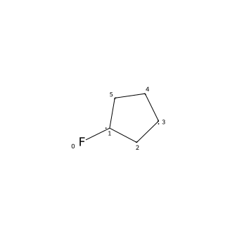 F[C]1C[CH]CC1